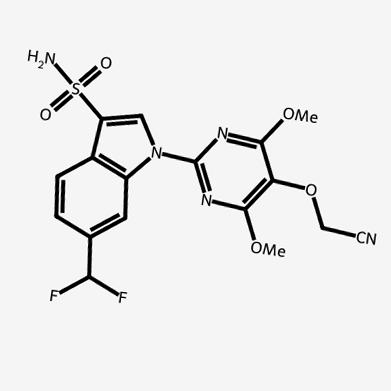 COc1nc(-n2cc(S(N)(=O)=O)c3ccc(C(F)F)cc32)nc(OC)c1OCC#N